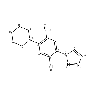 Nc1cc(-n2cnnn2)c(Cl)cc1N1CCCCC1